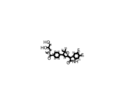 CN(CC(O)CO)C(=O)c1ccc(C2=C/C(=C3\C(=O)Nc4cc(F)c(F)cc43)OC2(C)C)cc1